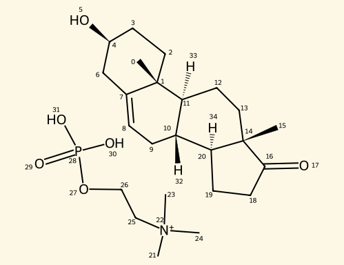 C[C@]12CC[C@H](O)CC1=CC[C@@H]1[C@@H]2CC[C@]2(C)C(=O)CC[C@@H]12.C[N+](C)(C)CCOP(=O)(O)O